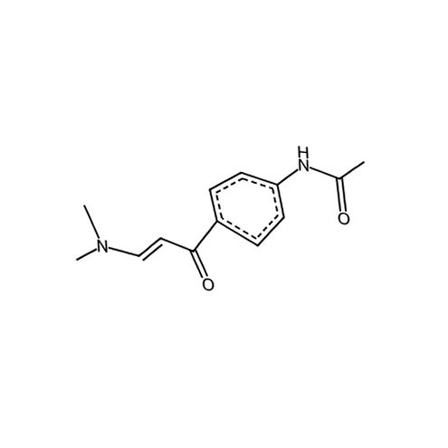 CC(=O)Nc1ccc(C(=O)C=CN(C)C)cc1